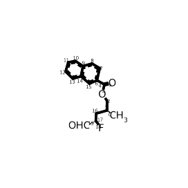 C[C@@H](COC(=O)c1ccc2ccccc2c1)C[C@H](F)C=O